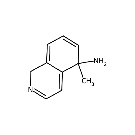 CC1(N)C=CC=C2CN=CC=C21